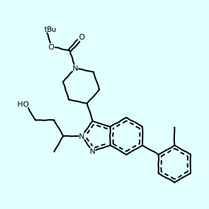 Cc1ccccc1-c1ccc2c(C3CCN(C(=O)OC(C)(C)C)CC3)n(C(C)CCO)nc2c1